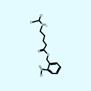 O=C(CCCC[SiH2]C(Cl)Cl)OCc1ccccc1[N+](=O)[O-]